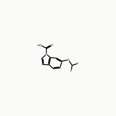 O=C(O)n1ccc2ccc(OC(F)F)cc21